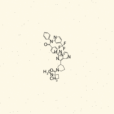 CN(C)C1(C(=O)N2CCCC(C3=C4C=NC=C[N+]4(N)C(c4ccc(C(=O)N(c5ccccc5)c5cc(C(F)(F)F)ccn5)cc4)=N3)C2)CCC1